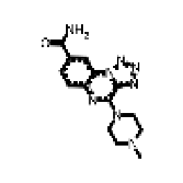 CN1CCN(c2nc3ccc(C(N)=O)cc3n3nnnc23)CC1